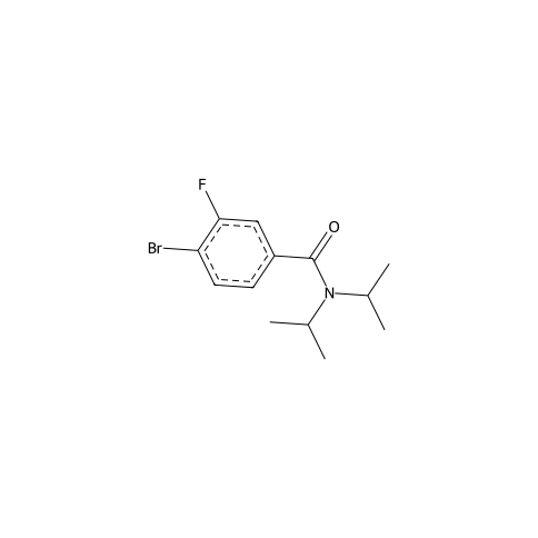 CC(C)N(C(=O)c1ccc(Br)c(F)c1)C(C)C